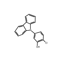 Oc1cc(-n2c3ccccc3c3ccccc32)ccc1Cl